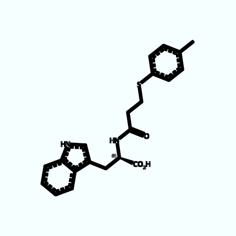 Cc1ccc(SCCC(=O)N[C@H](Cc2c[nH]c3ccccc23)C(=O)O)cc1